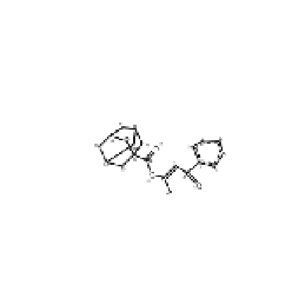 CC(=CC(=O)c1ccccc1)OC(=O)C12CC3CC(CC(C3)C1)C2